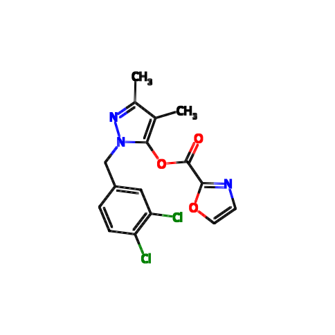 Cc1nn(Cc2ccc(Cl)c(Cl)c2)c(OC(=O)c2ncco2)c1C